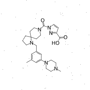 Cc1cc(CN2CCCC23CCN(C(=O)n2ccc(C(=O)O)n2)CC3)cc(N2CCN(C)CC2)c1